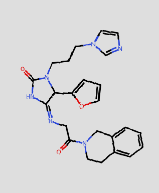 O=C(CN=C1NC(=O)N(CCCn2ccnc2)C1c1ccco1)N1CCc2ccccc2C1